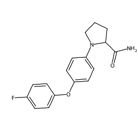 NC(=O)C1CCCN1c1ccc(Oc2ccc(F)cc2)cc1